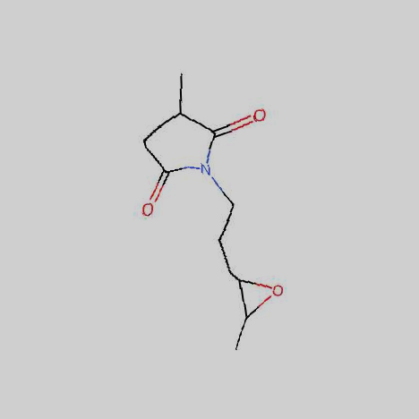 CC1CC(=O)N(CCC2OC2C)C1=O